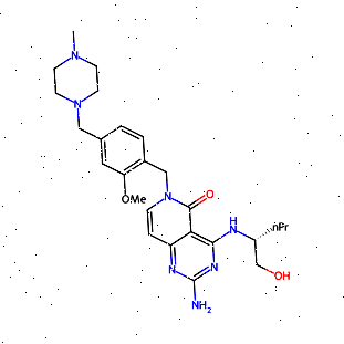 CCC[C@H](CO)Nc1nc(N)nc2ccn(Cc3ccc(CN4CCN(C)CC4)cc3OC)c(=O)c12